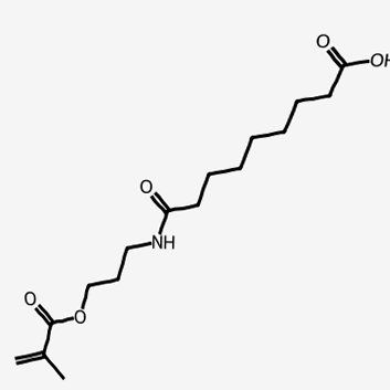 C=C(C)C(=O)OCCCNC(=O)CCCCCCCC(=O)O